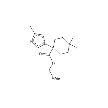 CNCOC(=O)C1(n2cnc(C)c2)CCC(F)(F)CC1